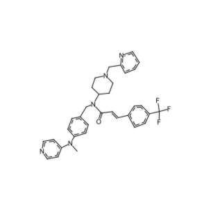 CN(c1ccncc1)c1ccc(CN(C(=O)C=Cc2ccc(C(F)(F)F)cc2)C2CCN(Cc3ccccn3)CC2)cc1